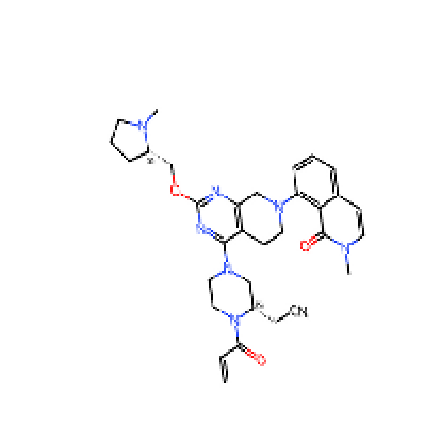 C=CC(=O)N1CCN(c2nc(OC[C@@H]3CCCN3C)nc3c2CCN(c2cccc4ccn(C)c(=O)c24)C3)C[C@@H]1CC#N